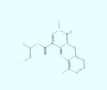 CCn1cc(C(=O)NC(C)CO)c2nc3c(C)cccc3cc2c1=O